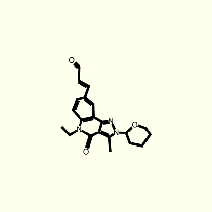 CCn1c(=O)c2c(C)n(C3CCCCO3)nc2c2cc(/C=C/C=O)ccc21